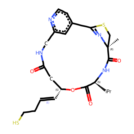 CC(C)[C@@H]1NC(=O)[C@]2(C)CSC(=N2)c2ccnc(c2)CNC(=O)C[C@@H](/C=C/CCS)OC1=O